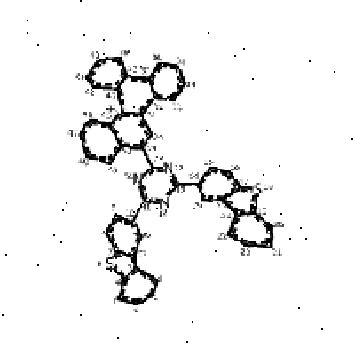 c1ccc2c(c1)sc1ccc(-c3nc(-c4ccc5sc6ccccc6c5c4)nc(-c4cc5c6ccccc6c6ccccc6c5c5ccccc45)n3)cc12